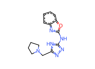 c1ccc2oc(Nc3nnc(CN4CCCC4)[nH]3)nc2c1